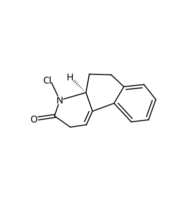 O=C1CC=C2c3ccccc3CC[C@@H]2N1Cl